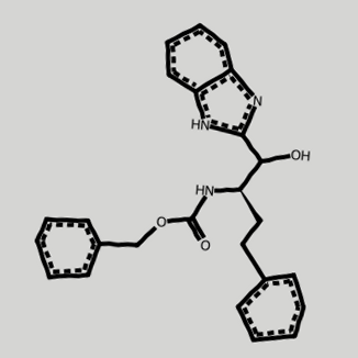 O=C(N[C@H](CCc1ccccc1)C(O)c1nc2ccccc2[nH]1)OCc1ccccc1